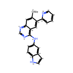 COc1cc2ncnc(Nc3ccc4[nH]ccc4c3)c2cc1-c1ccccn1